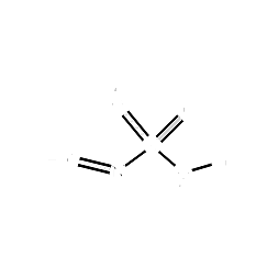 C=NS(=O)(=O)OCC